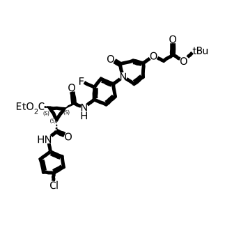 CCOC(=O)[C@H]1[C@@H](C(=O)Nc2ccc(Cl)cc2)[C@@H]1C(=O)Nc1ccc(-n2ccc(OCC(=O)OC(C)(C)C)cc2=O)cc1F